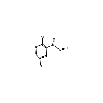 O=NC(=O)c1cc(Cl)cnc1Cl